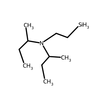 CCC(C)N(CC[SiH3])C(C)CC